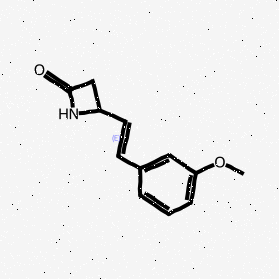 COc1cccc(/C=C/C2CC(=O)N2)c1